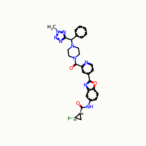 Cn1nnc(C(c2ccccc2)N2CCN(C(=O)c3cc(-c4nc5cc(NC(=O)[C@H]6C[C@@H]6F)ccc5o4)ccn3)CC2)n1